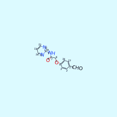 O=Cc1ccc(OCC(=O)Nc2ncccn2)cc1